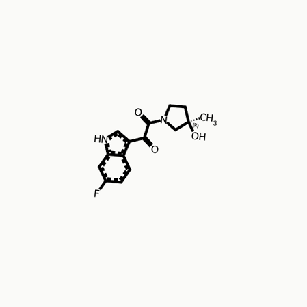 C[C@@]1(O)CCN(C(=O)C(=O)c2c[nH]c3cc(F)ccc23)C1